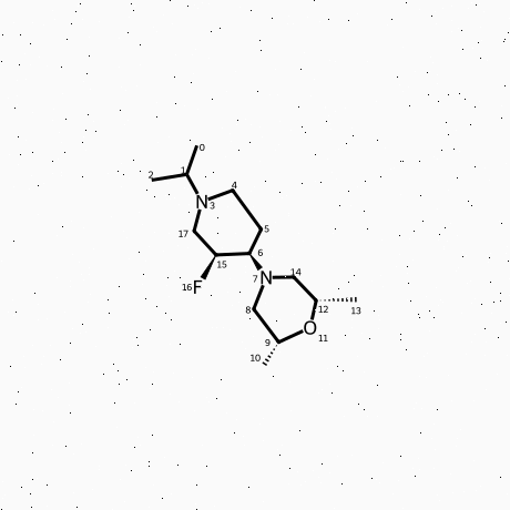 CC(C)N1CC[C@@H](N2C[C@@H](C)O[C@@H](C)C2)[C@@H](F)C1